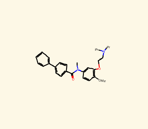 COc1ccc(N(C)C(=O)c2ccc(-c3ccccc3)cc2)cc1OCCN(C(C)C)C(C)C